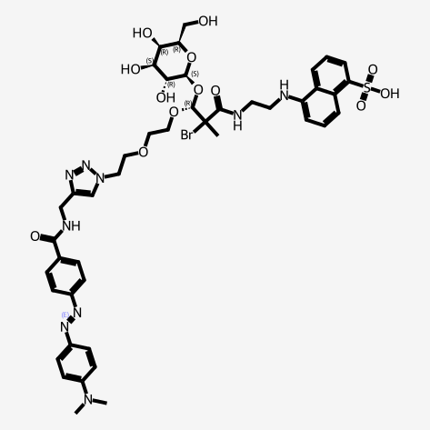 CN(C)c1ccc(/N=N/c2ccc(C(=O)NCc3cn(CCOCCO[C@H](O[C@@H]4O[C@H](CO)[C@H](O)[C@H](O)[C@H]4O)C(C)(Br)C(=O)NCCNc4cccc5c(S(=O)(=O)O)cccc45)nn3)cc2)cc1